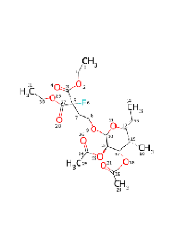 CCOC(=O)C(F)(CCOC1O[C@H](CC)[C@H](C)[C@H](OC(C)=O)[C@H]1OC(C)=O)C(=O)OCC